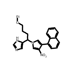 CCOCCCC(c1cnc[nH]1)n1cc(-c2cccc3ccccc23)c([N+](=O)[O-])c1